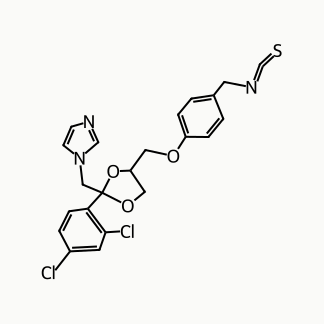 S=C=NCc1ccc(OCC2COC(Cn3ccnc3)(c3ccc(Cl)cc3Cl)O2)cc1